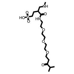 CNCC(CCS(=O)(=O)O)C(=O)NCCOCCOCCOCCC(=O)C(C)C